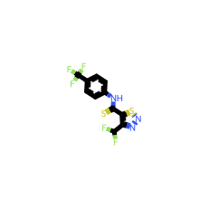 FC(F)c1nnsc1C(=S)Nc1ccc(C(F)(F)F)cc1